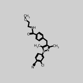 COCCNC(=O)c1ccc(Cc2c(C)nn(-c3ccc(C#N)c(Cl)c3)c2C)cc1